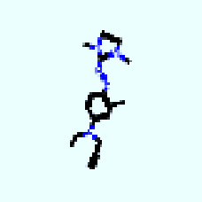 C#CCN(CC)c1ccc(/N=N/c2n(C)cc[n+]2C)c(C)c1